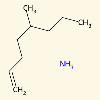 C=CCCC(C)CCC.N